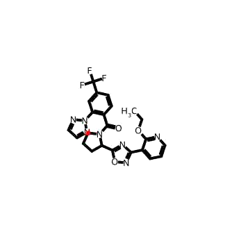 CCOc1ncccc1-c1noc(C2CCCN2C(=O)c2ccc(C(F)(F)F)cc2-n2nccn2)n1